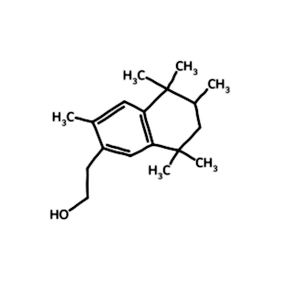 Cc1cc2c(cc1CCO)C(C)(C)CC(C)C2(C)C